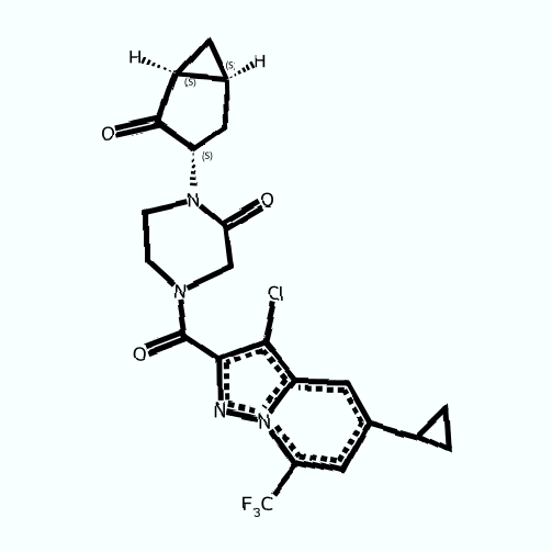 O=C1[C@H]2C[C@H]2C[C@@H]1N1CCN(C(=O)c2nn3c(C(F)(F)F)cc(C4CC4)cc3c2Cl)CC1=O